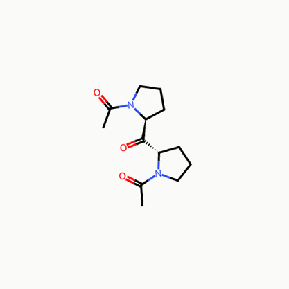 CC(=O)N1CCC[C@H]1C(=O)[C@@H]1CCCN1C(C)=O